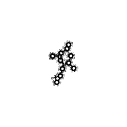 CC1(C)c2ccccc2-c2ccc(-c3ccc(N(c4cc(-c5ccccc5)cc(-c5ccccc5)c4)c4ccc5c(c4)c4cc(-c6ccc7ccccc7c6)ccc4n5-c4ccccc4)cc3)cc21